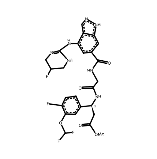 COC(=O)C[C@H](NC(=O)CNC(=O)c1cc(NC2=NCC(F)CN2)c2cn[nH]c2c1)c1ccc(F)c(OC(F)F)c1